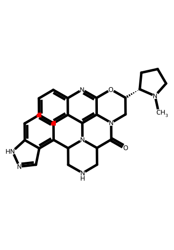 CN1CCC[C@H]1C1CN2C(=O)C3CNCC(c4cccc5[nH]ncc45)N3c3c2c(nc2ccccc32)O1